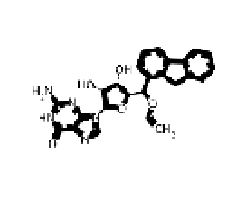 C=COC(c1cccc2c1Cc1ccccc1-2)[C@H]1O[C@@H](n2cnc3c(=O)[nH]c(N)nc32)[C@H](O)[C@@H]1O